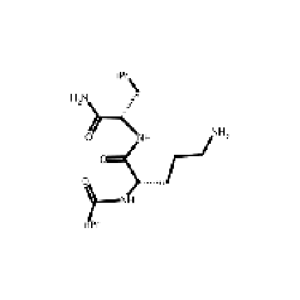 CCCC(=O)N[C@@H](CCCN)C(=O)N[C@@H](CC(C)C)C(N)=O